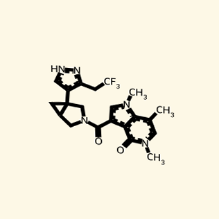 Cc1cn(C)c(=O)c2c(C(=O)N3CC4CC4(c4c[nH]nc4CC(F)(F)F)C3)cn(C)c12